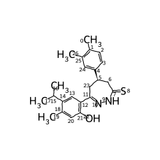 Cc1ccc([C@H]2CC(=S)NN=C(c3cc(C(C)C)c(C)cc3O)C2)cc1C